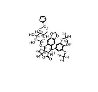 [2H]C([2H])([2H])Oc1cc([C@]2([2H])c3cc4c(cc3[C@@H](O[C@@H]3O[C@@H]5CO[C@@H](c6cccs6)O[C@H]5[C@H](O)[C@H]3O)[C@@H]3[C@@H]2C(=O)OC3([2H])[2H])OCO4)cc(OC([2H])([2H])[2H])c1O